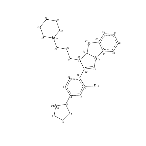 Fc1cc(C2CCCN2)ccc1C1=CN2c3ccccc3SC2N1CCCN1CCCCC1